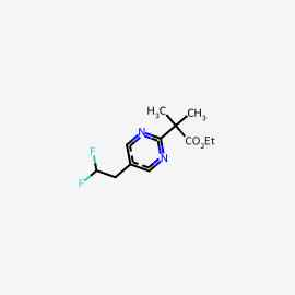 CCOC(=O)C(C)(C)c1ncc(CC(F)F)cn1